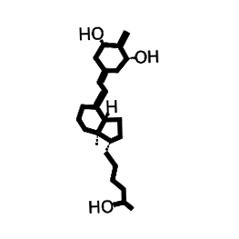 C=C1[C@H](O)CC(=C/C=C2\CCC[C@]3(C)[C@@H](CCCCC(C)O)CC[C@@H]23)C[C@H]1O